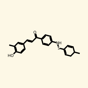 Cc1cc(/C=C/C(=O)c2ccc(NSC3=CCC(C)C=C3)cc2)ccc1O